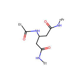 CCCNC(=O)CC(CC(=O)NCC)NC(=O)CC